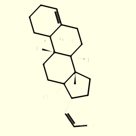 C[C@]12CC[C@H]3[C@@H](CCC4=CCCC[C@@]43C)[C@@H]1CC[C@@H]2/C=C\C(=O)O